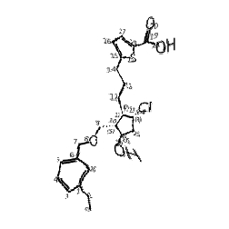 CCc1cccc(COC[C@@H]2[C@@H](CCCc3ccc(C(=O)O)s3)[C@H](Cl)C[C@H]2O)c1